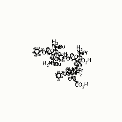 CC(C)[C@H](N)C(=O)OC(CC(=O)OCc1ccccc1)C(OC(=O)[C@@H](N)C(C)C)C(=O)O.CC[C@@](C)(C(=O)OCc1ccccc1)[C@H](N)C(=O)OCCC(=O)O.CC[C@H](C)[C@H](N)C(=O)OC(CC(=O)OCc1ccccc1)C(OC(=O)[C@@H](N)[C@@H](C)CC)C(=O)O